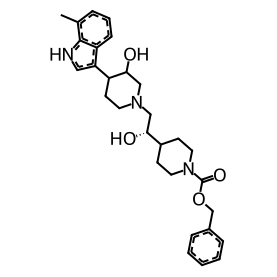 Cc1cccc2c(C3CCN(C[C@@H](O)C4CCN(C(=O)OCc5ccccc5)CC4)CC3O)c[nH]c12